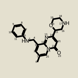 Cc1cc(CNc2ccccc2)c2nc(C3CNCCO3)cc(=O)n2c1